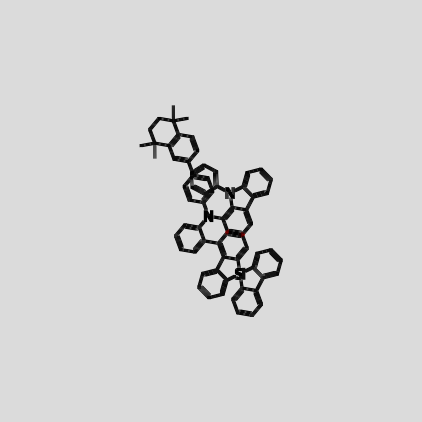 CC1(C)CCC(C)(C)c2cc(-c3ccc(N(c4ccccc4-c4cccc5c4-c4ccccc4[Si]54c5ccccc5-c5ccccc54)c4cccc5c6ccccc6n(-c6ccccc6)c45)cc3)ccc21